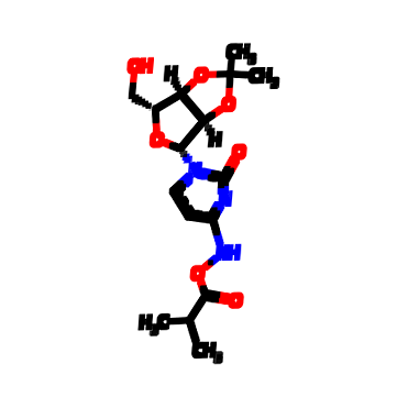 CC(C)C(=O)ONc1ccn([C@@H]2O[C@H](CO)[C@H]3OC(C)(C)O[C@H]32)c(=O)n1